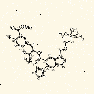 COC(=O)c1cc2cc(OC(C)c3cc4c(cnn4COCCS(C)(C)C)cc3-n3cccn3)c(N)nc2cc1F